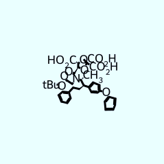 C[C@H]([C@H](CCc1ccccc1)c1ccc(Oc2ccccc2)cc1)N(CC(=O)OC(C)(C)C)C(=O)[C@@H]1OC(C(=O)O)(C(=O)O)O[C@H]1C(=O)O